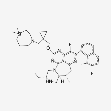 CC[C@@H]1CN2c3nc(OCC4(CN5CCC[Si](C)(C)CC5)CC4)nc4c(F)c(-c5cccc6ccc(F)c(C)c56)nc(c34)C[C@H](C)[C@H]2CN1